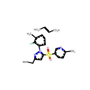 CNCc1cc(S(=O)(=O)c2ccc(C)nc2)n(-c2cccc(C)c2F)n1.O=C(O)C=CC(=O)O